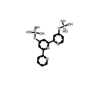 O[PH](O)(O)Oc1ccnc(-c2cc(O[PH](O)(O)O)cc(-c3ccccn3)n2)c1